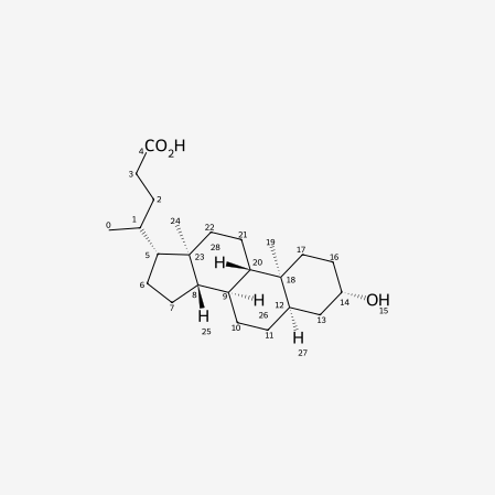 CC(CCC(=O)O)[C@H]1CC[C@H]2[C@@H]3CC[C@@H]4C[C@@H](O)CC[C@]4(C)[C@H]3CC[C@]12C